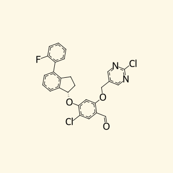 O=Cc1cc(Cl)c(O[C@H]2CCc3c(-c4ccccc4F)cccc32)cc1OCc1cnc(Cl)nc1